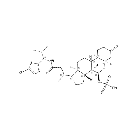 CC(C)[C@H](NC(=O)C[C@@H](C)[C@H]1CC[C@H]2[C@@H]3[C@H](OS(=O)(=O)O)C[C@@H]4CC(=O)CC[C@]4(C)[C@H]3CC[C@]12C)c1ccc(Cl)s1